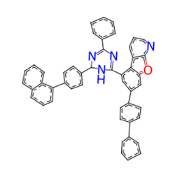 c1ccc(C2=NC(c3ccc(-c4cccc5ccccc45)cc3)NC(c3cc(-c4ccc(-c5ccccc5)cc4)cc4oc5ncccc5c34)=N2)cc1